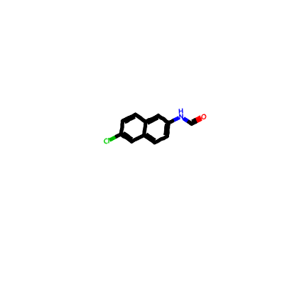 O=CNc1ccc2cc(Cl)ccc2c1